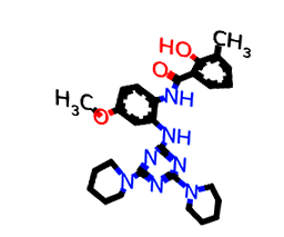 COc1ccc(NC(=O)c2cccc(C)c2O)c(Nc2nc(N3CCCCC3)nc(N3CCCCC3)n2)c1